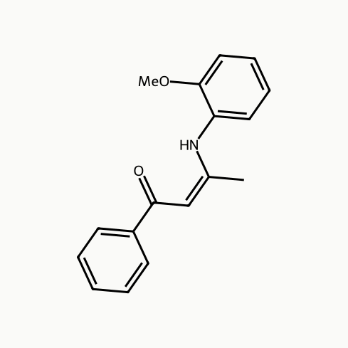 COc1ccccc1N/C(C)=C\C(=O)c1ccccc1